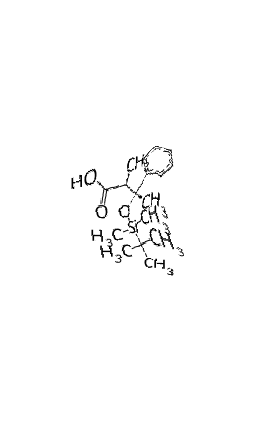 C[C@H](C(=O)O)[C@@](C)(O[Si](C)(C)C(C)(C)C)c1ccccc1